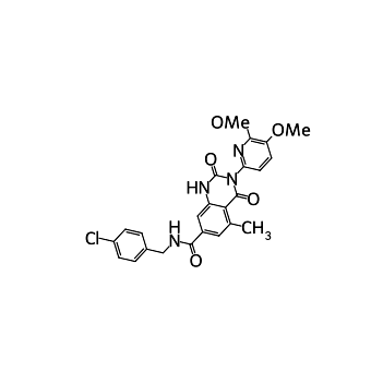 COc1ccc(-n2c(=O)[nH]c3cc(C(=O)NCc4ccc(Cl)cc4)cc(C)c3c2=O)nc1OC